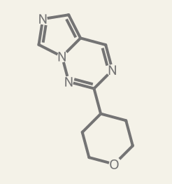 c1ncn2nc(C3CCOCC3)ncc12